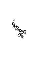 [N-]=[N+]=NC[C@@H]1C(=O)N(CI)c2ccc(Nc3cccc(C(=O)N4CCNCC4)c3)nc2N1C1CCOCC1